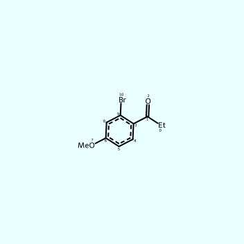 CCC(=O)c1ccc(OC)cc1Br